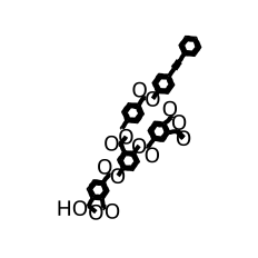 O=C(Oc1ccc(C#Cc2ccccc2)cc1)c1ccc(COC(=O)c2cc(OC(=O)c3ccc4c(c3)C(=O)OC4O)ccc2OC(=O)c2ccc3c(c2)C(=O)OC3=O)cc1